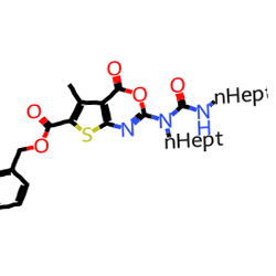 CCCCCCCNC(=O)N(CCCCCCC)c1nc2sc(C(=O)OCc3ccccc3)c(C)c2c(=O)o1